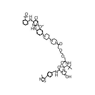 COc1cc(N2CCC(N3CCN(C(=O)COCCOCC(=O)NC(C(=O)N4C[C@H](O)C[C@H]4C(=O)NCc4ccc(-c5scnc5C)cc4)C(C)(C)C)CC3)CC2)ccc1Nc1ncc(Cl)c(Nc2ccccc2P(C)(C)=O)n1